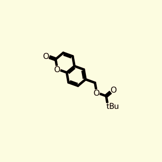 CC(C)(C)C(=O)OCc1ccc2oc(=O)ccc2c1